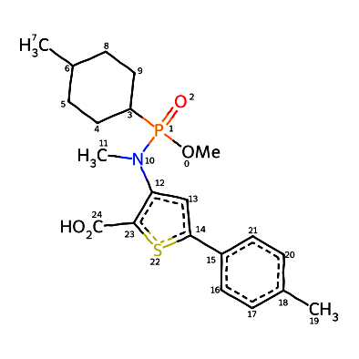 COP(=O)(C1CCC(C)CC1)N(C)c1cc(-c2ccc(C)cc2)sc1C(=O)O